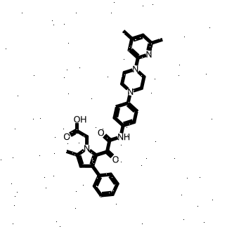 Cc1cc(C)nc(N2CCN(c3ccc(NC(=O)C(=O)c4c(-c5ccccc5)cc(C)n4CC(=O)O)cc3)CC2)c1